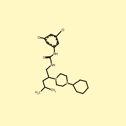 CC(C)CC(CNC(=O)Nc1cc(Cl)cc(Cl)c1)N1CCN(C2CCCCC2)CC1